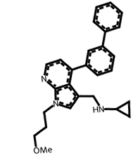 COCCCn1cc(CNC2CC2)c2c(-c3cccc(-c4ccccc4)c3)ccnc21